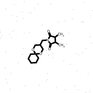 CC1C(=O)N(CC2COC3(CCCCC3)OC2)C(=O)C1C